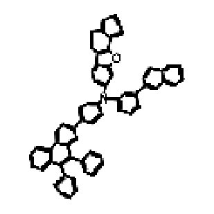 c1ccc(-c2c(-c3ccccc3)c3cc(-c4ccc(N(c5cccc(-c6ccc7ccccc7c6)c5)c5ccc6c(c5)oc5c7ccccc7ccc65)cc4)ccc3c3ccccc23)cc1